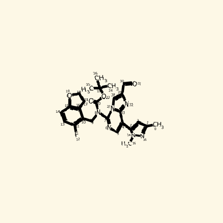 Cc1cc(-c2cnc(N(Cc3c(F)ccc4c3CCO4)C(=O)OC(C)(C)C)n3cc(C=O)nc23)n(C)n1